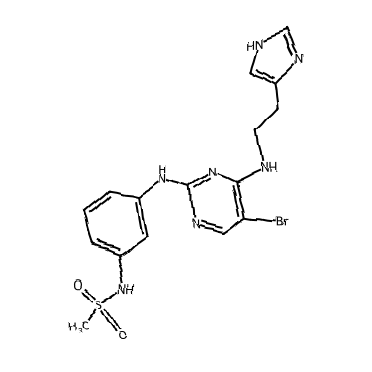 CS(=O)(=O)Nc1cccc(Nc2ncc(Br)c(NCCc3c[nH]cn3)n2)c1